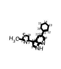 CC1=NC(c2c[nH]c3ncc(C4=CCCCC4)cc23)CS1